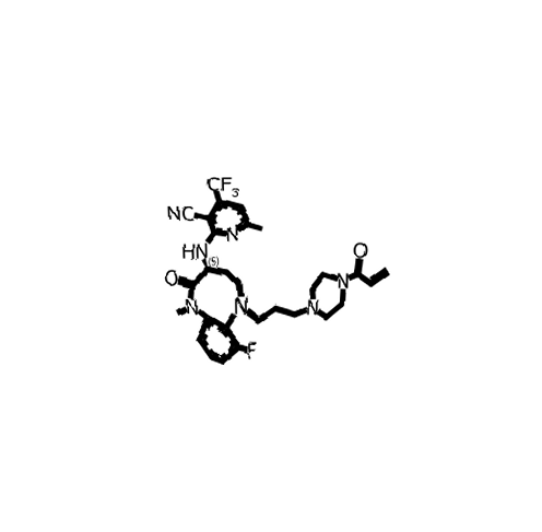 C=CC(=O)N1CCN(CCCN2CC[C@H](Nc3nc(C)cc(C(F)(F)F)c3C#N)C(=O)N(C)c3cccc(F)c32)CC1